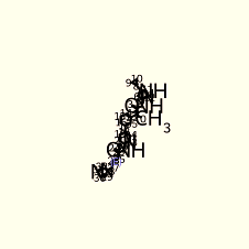 CC(C(=O)Nc1cc(C2CC2)[nH]n1)c1cccc(-c2ccc(NC(=O)/C=C/Cn3ccnc3)nc2)c1